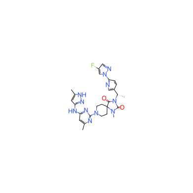 Cc1cc(Nc2cc(C)[nH]n2)nc(N2CCC3(CC2)C(=O)N([C@@H](C)c2ccc(-n4cc(F)cn4)nc2)C(=O)N3C)n1